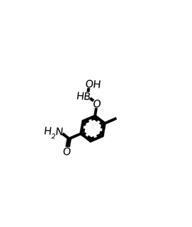 Cc1ccc(C(N)=O)cc1OBO